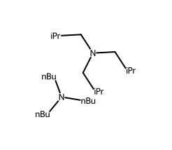 CC(C)CN(CC(C)C)CC(C)C.CCCCN(CCCC)CCCC